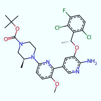 COc1ccc(N2CCN(C(=O)OC(C)(C)C)C[C@@H]2C)nc1-c1cnc(N)c(O[C@H](C)c2c(Cl)ccc(F)c2Cl)c1